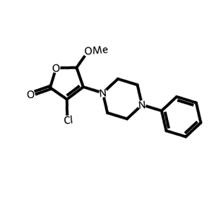 COC1OC(=O)C(Cl)=C1N1CCN(c2ccccc2)CC1